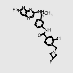 CCn1cc2ncc(N[C@@H](C)c3cccc(NC(=O)c4ccc(CN5CC(F)C5)c(Cl)c4)c3)nc2n1